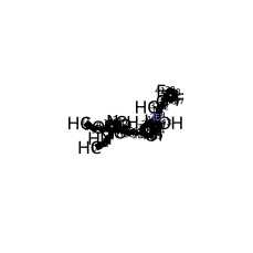 C#CCNCc1c(COCC#C)cnc(C)c1OC(=O)CCC[C@H]1CC[C@@H]2[C@@H](/C=C/[C@@H](O)COc3cc(F)ccc3F)[C@H](O)C[C@@H]2OC1